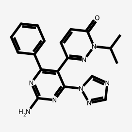 CC(C)n1nc(-c2c(-c3ccccc3)nc(N)nc2-n2cncn2)ccc1=O